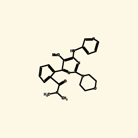 COc1c(Nc2cccnc2)nc(N2CCOCC2)nc1-c1ccccc1C(=O)N(C)C